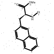 CCN[C@@H](Cc1ccc2ccccc2c1)C(=O)OC